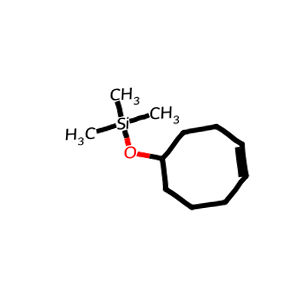 C[Si](C)(C)OC1CCC=CCCC1